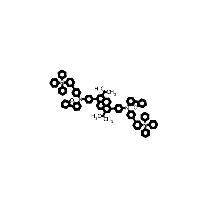 CC(C)c1cc(-c2ccc(N(c3ccc(-c4cccc([Si](c5ccccc5)(c5ccccc5)c5ccccc5)c4)cc3)c3cccc4c3oc3ccccc34)cc2)c2ccc3c(C(C)C)cc(-c4ccc(N(c5ccc(-c6cccc([Si](c7ccccc7)(c7ccccc7)c7ccccc7)c6)cc5)c5cccc6c5oc5ccccc56)cc4)c4ccc1c2c43